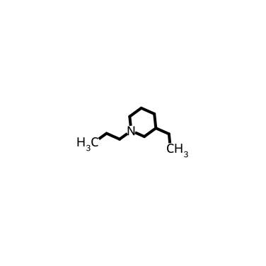 CCCN1CCCC(CC)C1